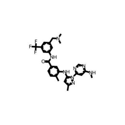 CNc1cc(-n2nc(C)cc2Nc2cc(C(=O)Nc3cc(CN(C)C)cc(C(F)(F)F)c3)ccc2C)ncn1